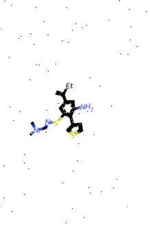 C=C(CC)c1cc(N)c(-c2ccsc2)c(S/N=C/N(C)C)c1